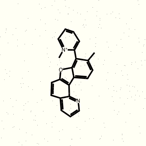 Cc1ccc2c(oc3ccc4cccnc4c32)c1-c1cccc[n+]1C